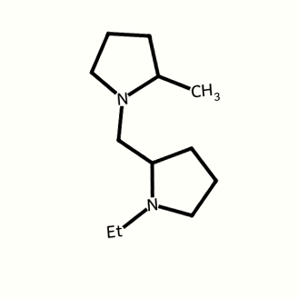 CCN1CCCC1CN1CCCC1C